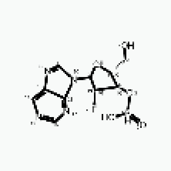 O=[PH](O)O[C@@H]1[C@@H](CO)OC(n2cnc3cncnc32)[C@@H]1F